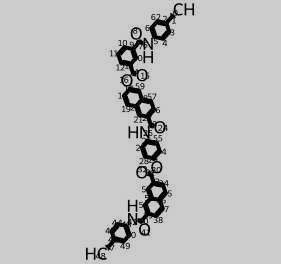 C#Cc1ccc(NC(=O)c2cccc(C(=O)Oc3ccc4cc(C(=O)Nc5ccc(OC(=O)c6ccc7ccc(C(=O)Nc8ccc(C#C)cc8)cc7c6)cc5)ccc4c3)c2)cc1